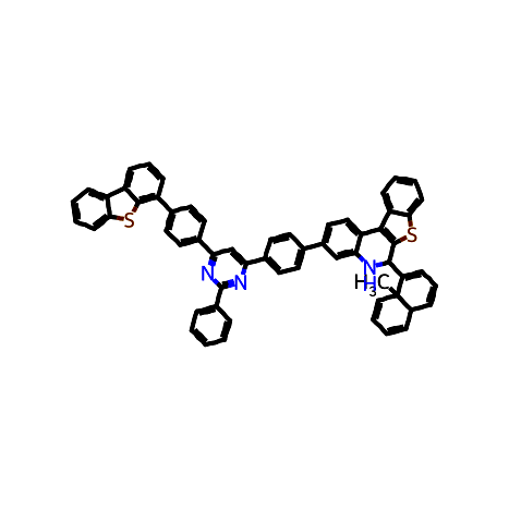 CC12C=CC=CC1C=CC=C2C1Nc2cc(-c3ccc(-c4cc(-c5ccc(-c6cccc7c6sc6ccccc67)cc5)nc(-c5ccccc5)n4)cc3)ccc2-c2c1sc1ccccc21